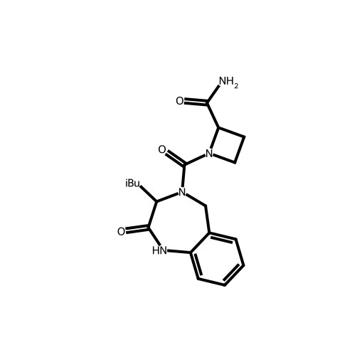 CCC(C)C1C(=O)Nc2ccccc2CN1C(=O)N1CCC1C(N)=O